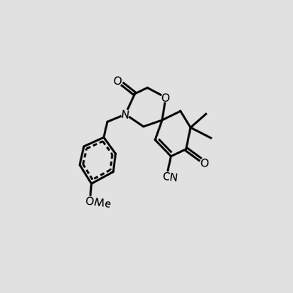 COc1ccc(CN2CC3(C=C(C#N)C(=O)C(C)(C)C3)OCC2=O)cc1